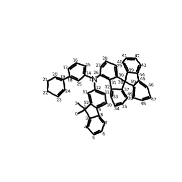 CC1(C)c2ccccc2-c2ccc(N(c3cccc(C4=CCCC=C4)c3)c3cccc4c3-c3ccccc3C43c4ccccc4-c4ccccc43)cc21